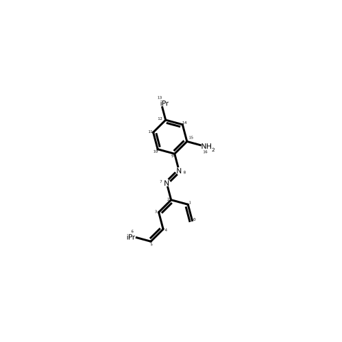 C=C/C(=C\C=C/C(C)C)N=Nc1ccc(C(C)C)cc1N